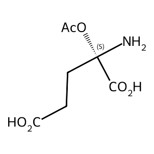 CC(=O)O[C@@](N)(CCC(=O)O)C(=O)O